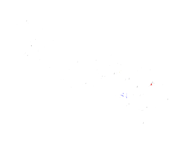 CC1(C)c2cc(-c3ccc(C45CC6CC(CC(C6)C4)C5)cc3)ccc2-c2ccc(N(c3ccccc3-c3ccccc3)c3cccc4c3sc3ccccc34)cc21